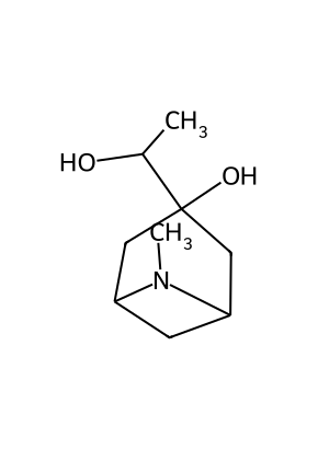 CC(O)C1(O)CC2CC(C1)N2C